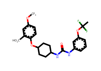 CC(F)(F)Oc1cccc(NC(=O)NC2CCC(Oc3ccc(OC(F)(F)F)cc3C(=O)O)CC2)c1